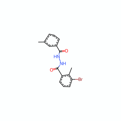 Cc1cccc(C(=O)NNC(=O)c2cccc(Br)c2C)c1